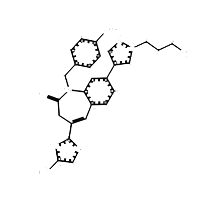 COc1ccc(CN2C(=O)CC(c3ncc(C)o3)=Cc3ccc(-c4cnn(CCCO)c4)cc32)cc1